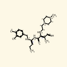 CC/C=C(\NCc1ccc(Cl)c(Cl)c1)NC(=O)/C(NCCN1CCN(C)CC1)=C(\C)C=N